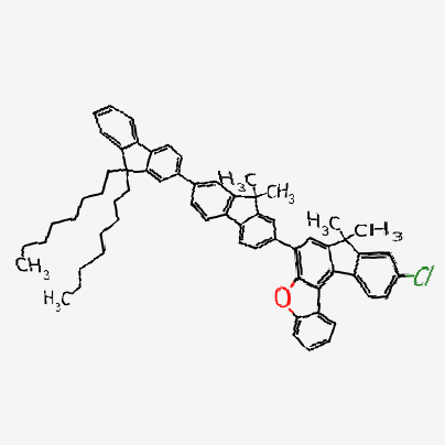 CCCCCCCCC1(CCCCCCCC)c2ccccc2-c2ccc(-c3ccc4c(c3)C(C)(C)c3cc(-c5cc6c(c7c5oc5ccccc57)-c5ccc(Cl)cc5C6(C)C)ccc3-4)cc21